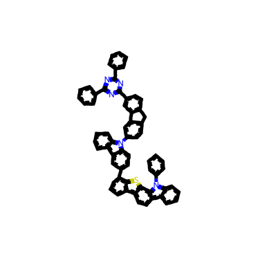 c1ccc(-c2nc(-c3ccccc3)nc(-c3ccc4c(c3)-c3cc(-n5c6ccccc6c6cc(-c7cccc8c7sc7c8ccc8c9ccccc9n(-c9ccccc9)c87)ccc65)ccc3C4)n2)cc1